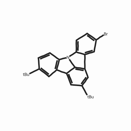 CC(C)(C)c1ccc2c(c1)c1cc(C(C)(C)C)cc3c4cc(Br)ccc4n2c31